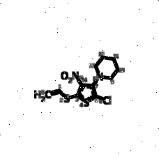 C=CSc1sc(Cl)c(N2CCCCC2)c1[N+](=O)[O-]